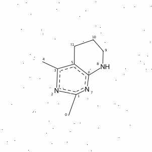 Cc1nc(C)c2c(n1)NCCC2